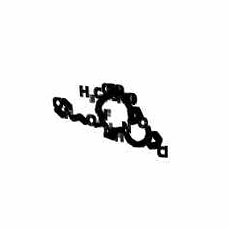 C[C@@H]1[C@@H](C)C/C=C(\F)[C@H](COCCCN2CCOCC2)N2CC[C@H]2CN2CCCCc3cc(Cl)ccc3COc3ccc(cc32)C(=O)NS1(=O)=O